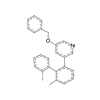 Cc1ccccc1-c1c(C)cccc1-c1cncc(OCc2ccccc2)c1